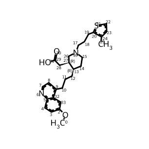 COc1ccc2nccc(CCC[C@@H]3CCN(CCCc4sccc4C)C[C@@H]3CC(=O)O)c2c1